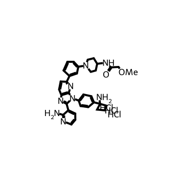 COCC(=O)NC1CCN(c2cccc(-c3ccc4nc(-c5cccnc5N)n(-c5ccc(C6(N)CCC6)cc5)c4n3)c2)CC1.Cl.Cl.Cl